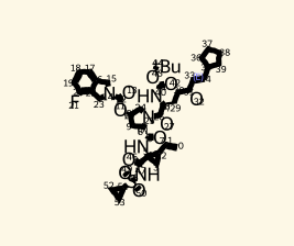 C=CC1CC1(NC(=O)[C@@H]1C[C@@H](OC(=O)N2Cc3cccc(F)c3C2)CN1C(=O)[C@H](CCC(=O)/C=C/C1CCCC1)NC(=O)OC(C)(C)C)C(=O)NS(=O)(=O)C1CC1